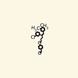 Cc1ccc(C=C(CCCOc2ccc(C=O)cc2)c2cccc(Cl)c2)cc1C